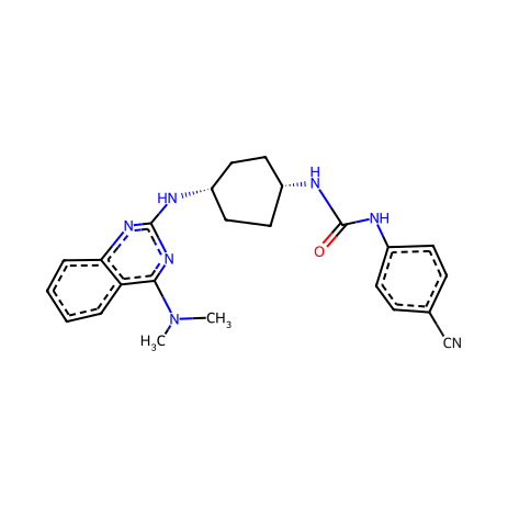 CN(C)c1nc(N[C@H]2CC[C@@H](NC(=O)Nc3ccc(C#N)cc3)CC2)nc2ccccc12